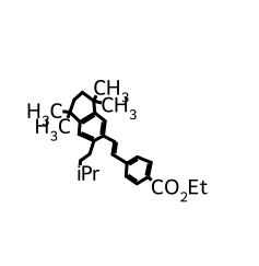 CCOC(=O)c1ccc(C=Cc2cc3c(cc2CCC(C)C)C(C)(C)CCC3(C)C)cc1